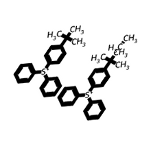 CC.CC(C)(C)c1ccc([S+](c2ccccc2)c2ccccc2)cc1.CC(C)(C)c1ccc([S+](c2ccccc2)c2ccccc2)cc1